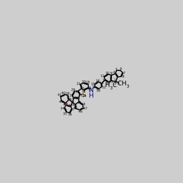 CC1(C)C2=C(CCC=C2)c2ccc(-c3ccc(Nc4cccc5c4sc4c6c(ccc45)C(c4ccccc4)(c4ccccc4)c4ccccc4-6)cc3)cc21